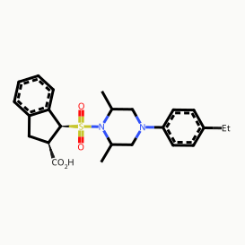 CCc1ccc(N2CC(C)N(S(=O)(=O)[C@@H]3c4ccccc4C[C@@H]3C(=O)O)C(C)C2)cc1